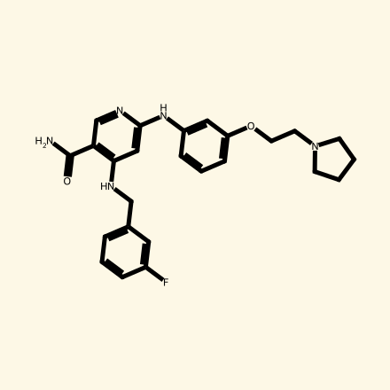 NC(=O)c1cnc(Nc2cccc(OCCN3CCCC3)c2)cc1NCc1cccc(F)c1